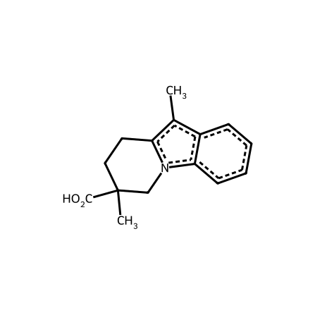 Cc1c2n(c3ccccc13)CC(C)(C(=O)O)CC2